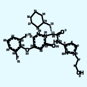 O=C(Nc1ccn(CCO)n1)[C@@H](CC1CCCCC1)n1ncc(Oc2c(F)cccc2F)cc1=O